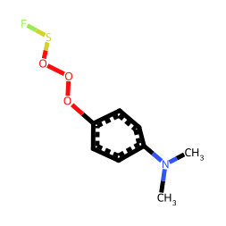 CN(C)c1ccc(OOOSF)cc1